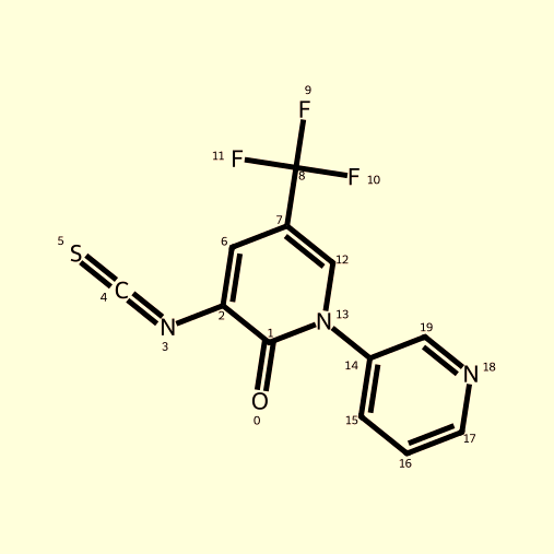 O=c1c(N=C=S)cc(C(F)(F)F)cn1-c1cccnc1